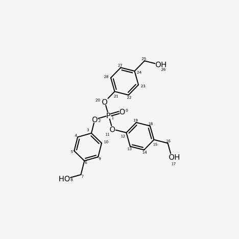 O=P(Oc1ccc(CO)cc1)(Oc1ccc(CO)cc1)Oc1ccc(CO)cc1